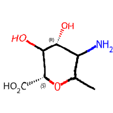 CC1O[C@H](C(=O)O)C(O)[C@H](O)C1N